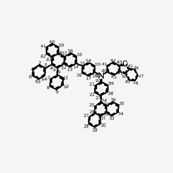 c1ccc(-c2c(-c3ccccc3)c3cc(-c4ccc(N(c5ccc(-c6cc7ccccc7c7ccccc67)cc5)c5ccc6oc7ccccc7c6c5)cc4)ccc3c3ccccc23)cc1